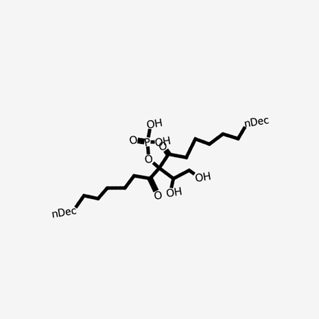 CCCCCCCCCCCCCCCC(=O)C(OP(=O)(O)O)(C(=O)CCCCCCCCCCCCCCC)C(O)CO